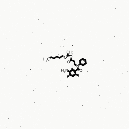 CCCCCCOC(C)OC(=O)CCN(C(=O)c1c(I)cc(I)c(N)c1I)c1ccccc1